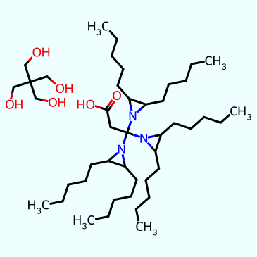 CCCCCC1C(CCCCC)N1C(CC(=O)O)(N1C(CCCCC)C1CCCCC)N1C(CCCCC)C1CCCCC.OCC(CO)(CO)CO